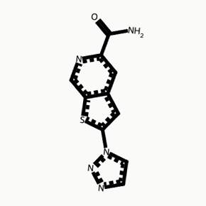 NC(=O)c1cc2cc(-n3ccnn3)sc2cn1